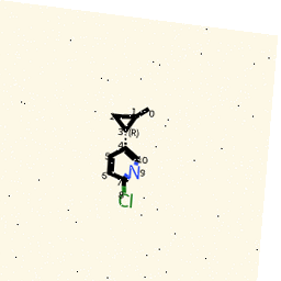 CC1C[C@H]1c1ccc(Cl)nc1